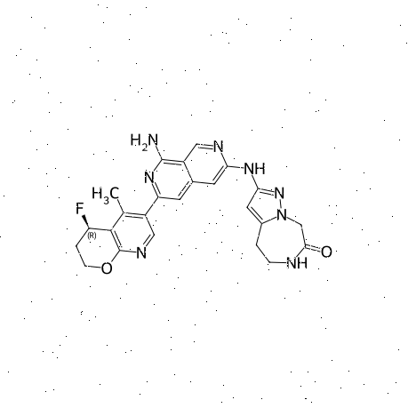 Cc1c(-c2cc3cc(Nc4cc5n(n4)CC(=O)NCC5)ncc3c(N)n2)cnc2c1[C@H](F)CCO2